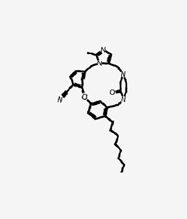 CCCCCCCCc1ccc2cc1CN1CCN(CC1=O)Cc1cnc(C)n1Cc1ccc(C#N)c(c1)O2